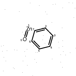 [O]=[Zn].c1ccccc1